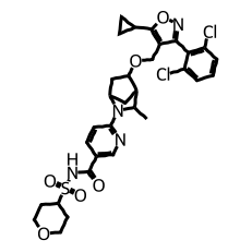 CC1C2CC(CC2OCc2c(-c3c(Cl)cccc3Cl)noc2C2CC2)N1c1ccc(C(=O)NS(=O)(=O)C2CCOCC2)cn1